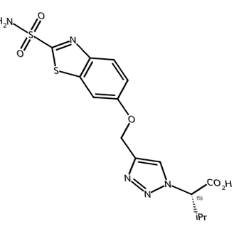 CC(C)[C@@H](C(=O)O)n1cc(COc2ccc3nc(S(N)(=O)=O)sc3c2)nn1